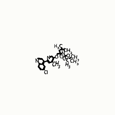 Cc1cc(-c2ccnc3ccc(Cl)cc23)ncc1OC[C@](C)(CC(C)C)NC(=O)OC(C)(C)C